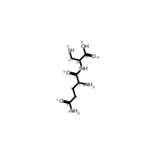 NC(=O)CCC(N)C(=O)NC(CS)C(=O)O